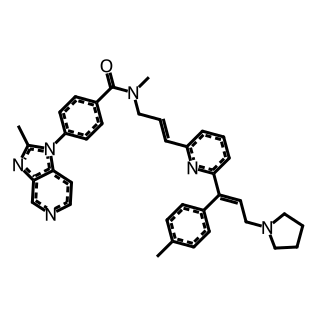 Cc1ccc(/C(=C\CN2CCCC2)c2cccc(/C=C/CN(C)C(=O)c3ccc(-n4c(C)nc5cnccc54)cc3)n2)cc1